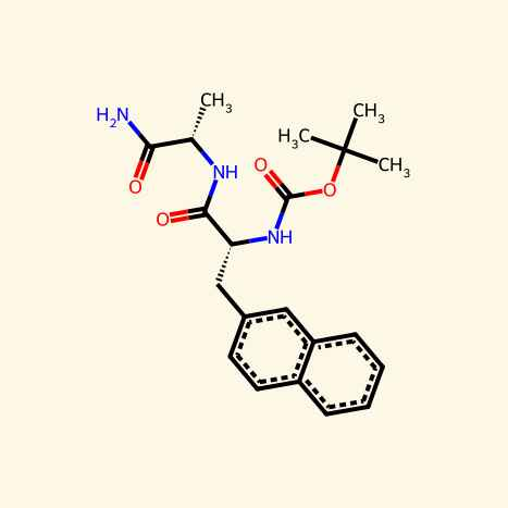 C[C@H](NC(=O)[C@@H](Cc1ccc2ccccc2c1)NC(=O)OC(C)(C)C)C(N)=O